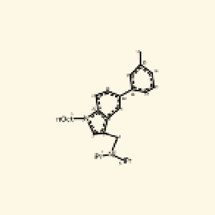 CCCCCCCCn1cc(CN(C(C)C)C(C)C)c2cc(-c3cccc(C)c3)ccc21